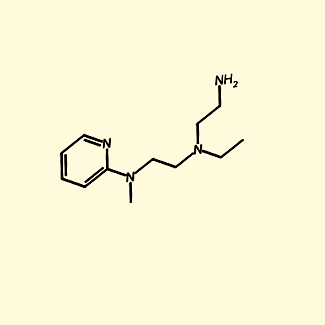 CCN(CCN)CCN(C)c1ccccn1